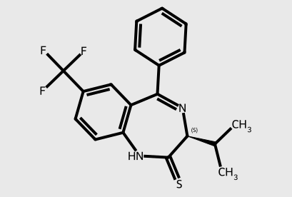 CC(C)[C@@H]1N=C(c2ccccc2)c2cc(C(F)(F)F)ccc2NC1=S